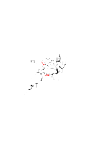 C/C=C/C(=O)NCCOCCOCCNC(=O)CCC(=O)NC(CCC(=O)O)C(=O)NC(CCC(=O)O)C(=O)N[C@@H](CCC(=O)O)C(=O)NC(CCC(=O)O)C(=O)NC(CCC(=O)O)C(=O)NC(CCC(=O)O)C(=O)NCC(=O)O